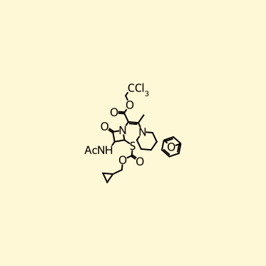 CC(=O)NC1C(=O)N(C(C(=O)OCC(Cl)(Cl)Cl)=C(C)N2CCCCC2)C1SC(=O)OCC1CC1.c1cc2cc(c1)O2